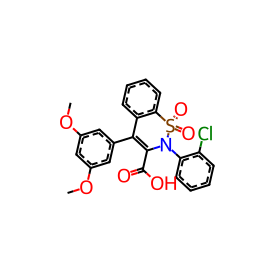 COc1cc(OC)cc(C2=C(C(=O)O)N(c3ccccc3Cl)S(=O)(=O)c3ccccc32)c1